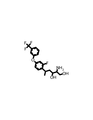 CC(CC(O)C(N)CO)c1ccc(Oc2cccc(C(F)(F)F)c2)cc1F